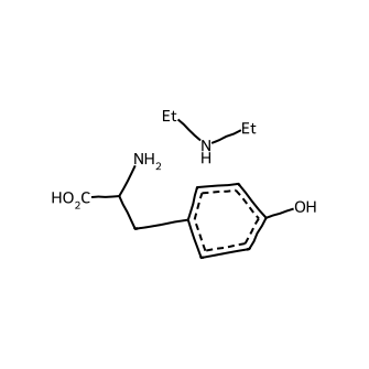 CCNCC.NC(Cc1ccc(O)cc1)C(=O)O